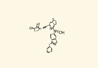 Cl.O=C1CC[C@@H](C#Cc2cc3sccc3c(Nc3ccc4c(cnn4Cc4ccccc4)c3)n2)N1